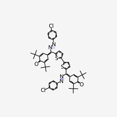 CC(C)(C)C1=CC(=C(/N=N/c2ccc(Cl)cc2)c2ccc(-c3ccc(C(/N=N/c4ccc(Cl)cc4)=C4C=C(C(C)(C)C)C(=O)C(C(C)(C)C)=C4)s3)s2)C=C(C(C)(C)C)C1=O